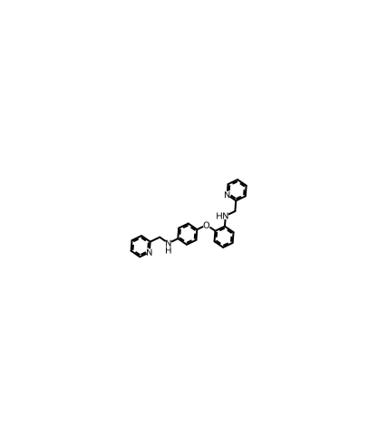 c1ccc(CNc2ccc(Oc3ccccc3NCc3ccccn3)cc2)nc1